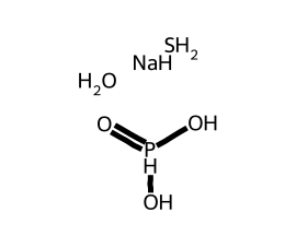 O.O=[PH](O)O.S.[NaH]